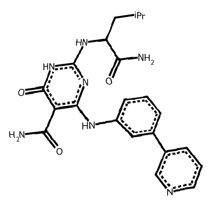 CC(C)CC(Nc1nc(Nc2cccc(-c3cccnc3)c2)c(C(N)=O)c(=O)[nH]1)C(N)=O